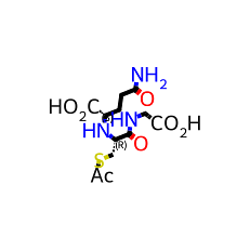 CC(=O)SC[C@H](N[C@@H](CCC(N)=O)C(=O)O)C(=O)NCC(=O)O